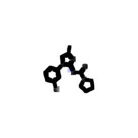 Cc1cn(-c2cccc(Cl)c2)/c(=N/C(=O)N2CCCC2)s1